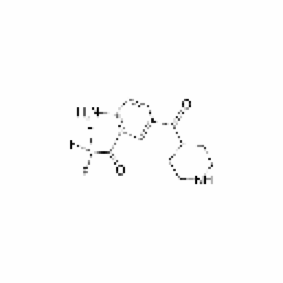 Nc1ccc(C(=O)C2CCNCC2)cc1C(=O)C(F)(F)F